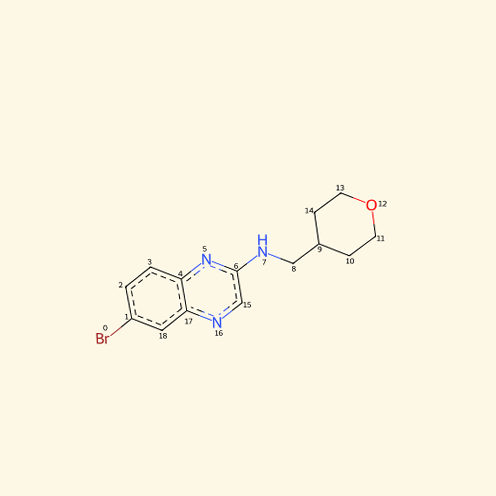 Brc1ccc2nc(NCC3CCOCC3)cnc2c1